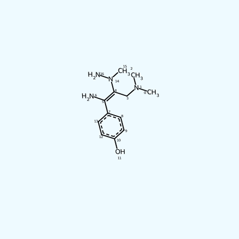 CN(C)C/C(=C(/N)c1ccc(O)cc1)N(C)N